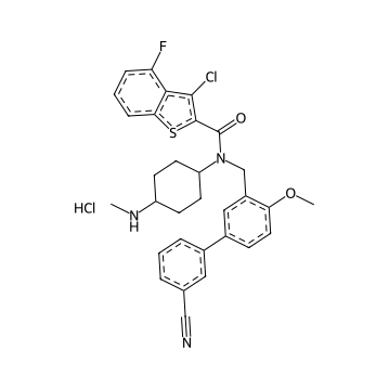 CNC1CCC(N(Cc2cc(-c3cccc(C#N)c3)ccc2OC)C(=O)c2sc3cccc(F)c3c2Cl)CC1.Cl